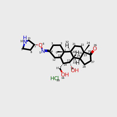 C[C@]12CC/C(=N\O[C@@H]3CCNC3)CC1[C@@H](CO)[C@@H](O)[C@@H]1[C@@H]2CC[C@]2(C)C(=O)CC[C@@H]12.Cl